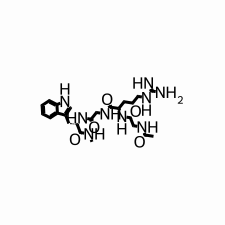 CNC(=O)[C@H](Cc1c[nH]c2ccccc12)NC(=O)CNC(=O)C(CCCNC(=N)N)NC(=O)CNC(C)=O